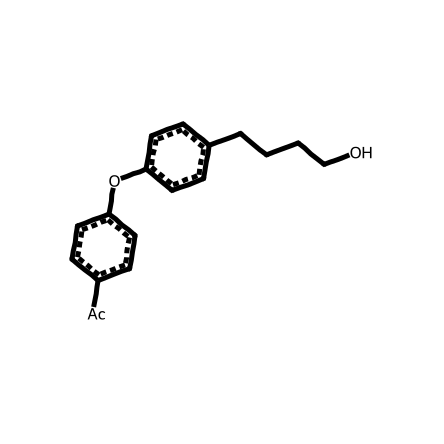 CC(=O)c1ccc(Oc2ccc(CCCCO)cc2)cc1